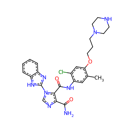 Cc1cc(NC(=O)c2c(C(N)=O)ncn2-c2nc3ccccc3[nH]2)c(Cl)cc1OCCCN1CCNCC1